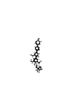 CCc1cc(-c2ccc(C3CCC(C)CC3)cc2)ccc1-c1cc(CC)c(OCCC(CC)(CC)CC)c(CC)c1